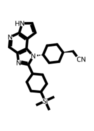 C[Si](C)(C)C1CCC(c2nc3cnc4[nH]ccc4c3n2[C@H]2CC[C@H](CC#N)CC2)CC1